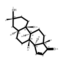 C[C@@]1(O)CC[C@H]2[C@@H](CC[C@@H]3[C@@H]2CC[C@]2(C)C(=O)C=C[C@@H]32)C1